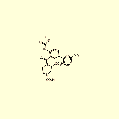 CC(C)(C)OC(=O)Nc1ccc(-c2cccc(C(F)(F)F)c2)cc1C(=O)N1CCN(C(=O)O)CC1C(=O)O